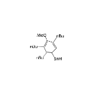 CCCCc1c[c]([SnH])c(CCCC)c(CCCC)c1OC